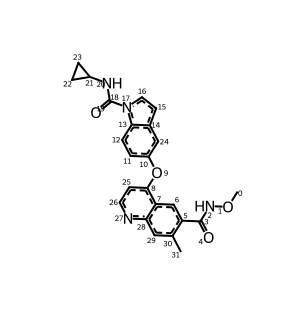 CONC(=O)c1cc2c(Oc3ccc4c(ccn4C(=O)NC4CC4)c3)ccnc2cc1C